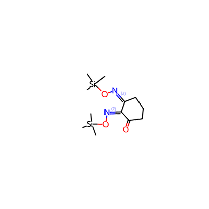 C[Si](C)(C)O/N=C1/CCCC(=O)/C1=N\O[Si](C)(C)C